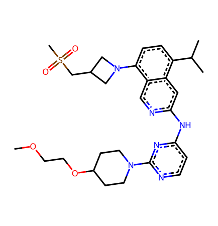 COCCOC1CCN(c2nccc(Nc3cc4c(C(C)C)ccc(N5CC(CS(C)(=O)=O)C5)c4cn3)n2)CC1